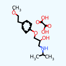 COCCc1ccc(OC[C@@H](O)CNC(C)C)cc1.O=C(O)C(=O)O